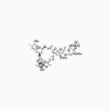 CC[C@@H](C)[C@H]1O[C@]2(C=C[C@@H]1C)C[C@@H]1C[C@@H](C/C=C(\C)[C@@H](O[C@H]3C[C@H](OC)[C@@H](O[C@H]4C[C@H](OC)[C@H](OS(=O)(=O)C(F)(F)F)[C@H](C)O4)[C@H](C)O3)[C@@H](C)/C=C/C=C3\CO[C@@H]4[C@H](O)C(C)=C[C@@H](C(=O)O1)[C@]34O)O2